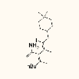 C=C(N)C(=C(/C)CCCC)/C(C)=C(\I)CC1CCC(C)(C)CC1